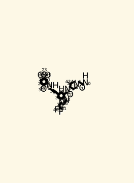 CNC(=O)CN1CC[C@H](NC(=O)c2cc(C#CCNc3cc(S(C)(=O)=O)ccc3OC)cc3c2ncn3CC(F)(F)F)[C@@H](C)C1